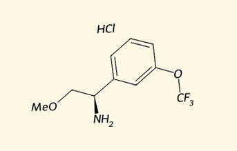 COC[C@H](N)c1cccc(OC(F)(F)F)c1.Cl